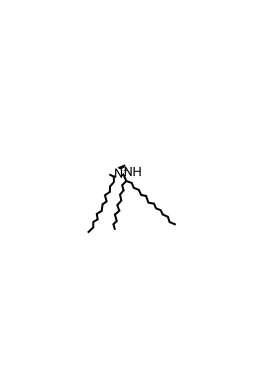 CCCCCCCCCCCCCC(CCCCCCCCCC)c1[nH]cc[n+]1C(C)CCCCCCCCCCCC